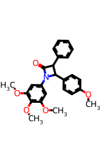 COc1ccc(C2C(c3ccccc3)C(=O)N2c2cc(OC)c(OC)c(OC)c2)cc1